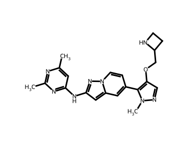 Cc1cc(Nc2cc3cc(-c4c(OCC5CCN5)cnn4C)ccn3n2)nc(C)n1